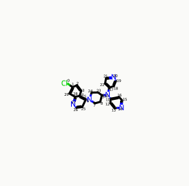 Clc1ccc2c(N3CCC(N(c4ccncc4)c4ccncc4)CC3)ccnc2c1